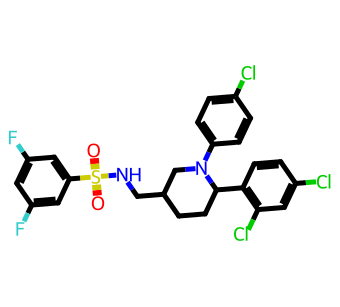 O=S(=O)(NCC1CCC(c2ccc(Cl)cc2Cl)N(c2ccc(Cl)cc2)C1)c1cc(F)cc(F)c1